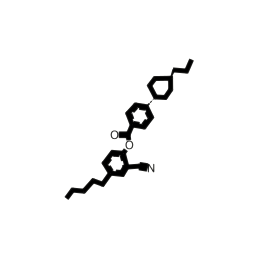 CCCCCc1ccc(OC(=O)c2ccc([C@H]3CC[C@H](CCC)CC3)cc2)c(C#N)c1